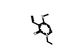 C=Cc1c(SC)ccn(CC)c1=O